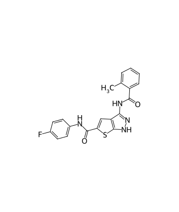 Cc1ccccc1C(=O)Nc1n[nH]c2sc(C(=O)Nc3ccc(F)cc3)cc12